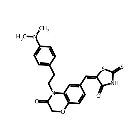 CN(C)c1ccc(CCN2C(=O)COc3ccc(C=C4SC(=S)NC4=O)cc32)cc1